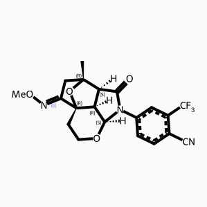 CO/N=C1\C[C@@]2(C)O[C@@]13CCO[C@H]1[C@@H]3[C@@H]2C(=O)N1c1ccc(C#N)c(C(F)(F)F)c1